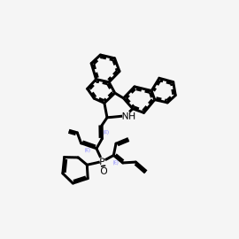 C=C/C=C(\C=C)P(=O)(C(/C=C/C1Nc2cc3ccccc3cc2-c2c1ccc1ccccc21)=C/C=C)C1C=CC=CC1